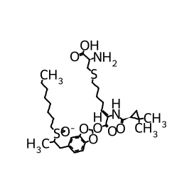 CC1(C)C[C@@H]1C(=O)N/C(=C\CCCCSC[C@H](N)C(=O)O)C(=O)O.CCCCCCCC[S+]([O-])C(C)Cc1ccc2c(c1)OCO2